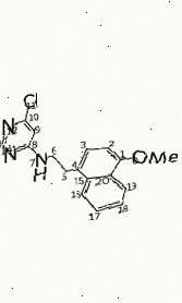 COc1ccc(CCNc2cc(Cl)ncn2)c2ccccc12